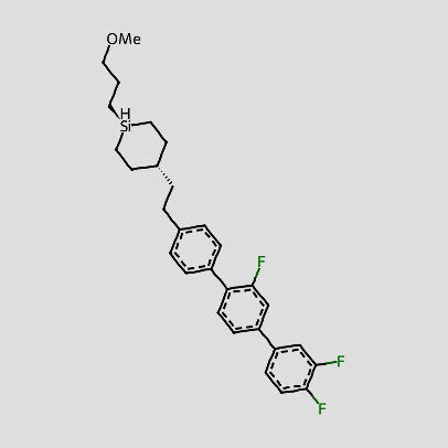 COCCC[Si@H]1CC[C@H](CCc2ccc(-c3ccc(-c4ccc(F)c(F)c4)cc3F)cc2)CC1